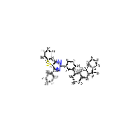 CC1(C)c2ccccc2-c2cc3c(-c4cccc(-c5nc(-c6ccccc6)c6sc7ccccc7c6n5)c4)cccc3cc21